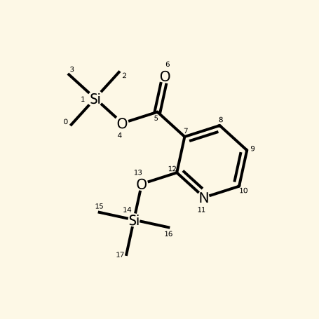 C[Si](C)(C)OC(=O)c1cccnc1O[Si](C)(C)C